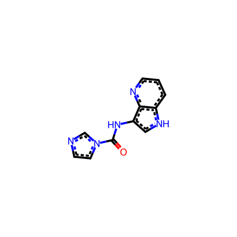 O=C(Nc1c[nH]c2cccnc12)n1ccnc1